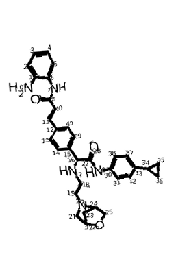 Nc1ccccc1NC(=O)/C=C/c1ccc([C@H](NCCN2CC3CC2CO3)C(=O)Nc2ccc(C3CC3)cc2)cc1